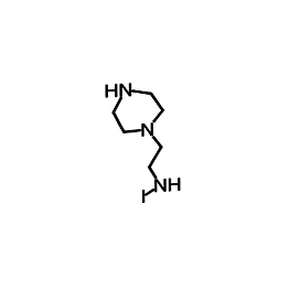 INCCN1CCNCC1